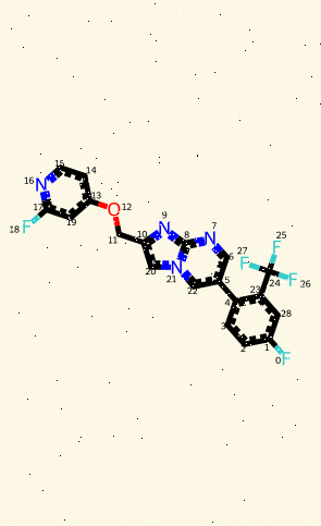 Fc1ccc(-c2cnc3nc(COc4ccnc(F)c4)cn3c2)c(C(F)(F)F)c1